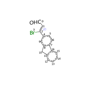 O=C/C=C(\Br)c1ccc2c(c1)Cc1ccccc1-2